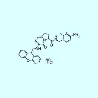 Cc1nc(N)ccc1CNC(=O)[C@@H]1CCc2cnc(NCC3c4ccccc4Oc4ccccc43)c(=O)n21.Cl.Cl